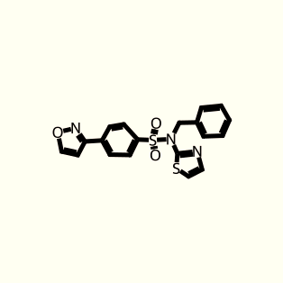 O=S(=O)(c1ccc(-c2ccon2)cc1)N(Cc1ccccc1)c1nccs1